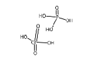 O=P(O)(O)O.[O]=[Cr](=[O])([OH])[OH]